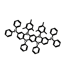 Cc1cc(C)c(B2c3cc(N(c4ccccc4)c4ccccc4)ccc3N(c3ccccc3)c3cc4c(cc32)B(c2c(C)cc(C)cc2C)c2cc(N(c3ccccc3)c3ccccc3)ccc2N4c2ccccc2)c(C)c1